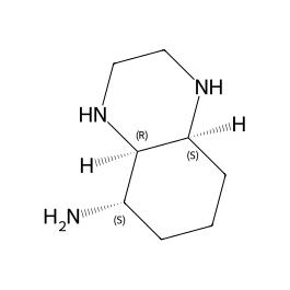 N[C@H]1CCC[C@@H]2NCCN[C@@H]21